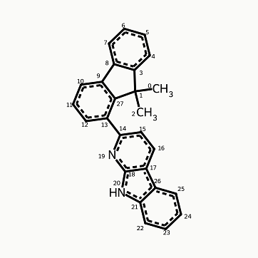 CC1(C)c2ccccc2-c2cccc(-c3ccc4c(n3)[nH]c3ccccc34)c21